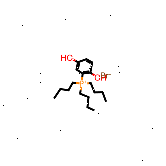 CCCC[P+](CCCC)(CCCC)c1cc(O)ccc1O.[Br-]